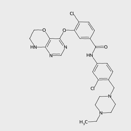 CCN1CCN(Cc2ccc(NC(=O)c3ccc(Cl)c(Oc4ncnc5c4OCCN5)c3)cc2Cl)CC1